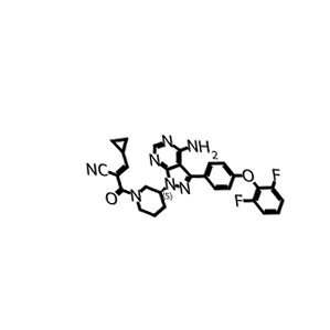 N#CC(=CC1CC1)C(=O)N1CCC[C@H](n2nc(-c3ccc(Oc4c(F)cccc4F)cc3)c3c(N)ncnc32)C1